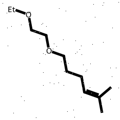 CCOCCOC[CH]CC=C(C)C